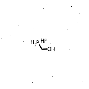 F.OCP